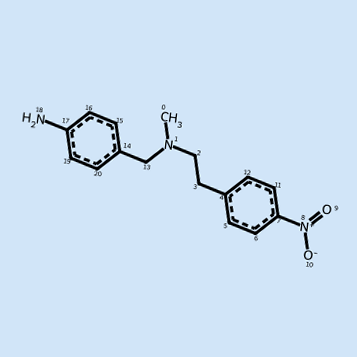 CN(CCc1ccc([N+](=O)[O-])cc1)Cc1ccc(N)cc1